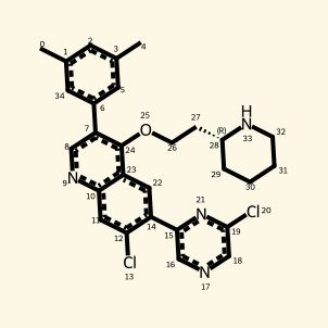 Cc1cc(C)cc(-c2cnc3cc(Cl)c(-c4cncc(Cl)n4)cc3c2OCC[C@H]2CCCCN2)c1